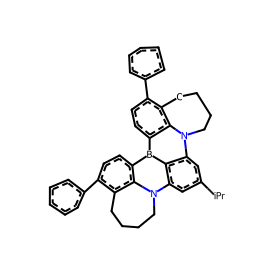 CC(C)c1cc2c3c(c1)N1CCCCc4c(-c5ccccc5)ccc(c41)B3c1ccc(-c3ccccc3)c3c1N2CCCC3